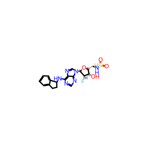 O=[SH](=O)NC[C@H]1O[C@@H](n2cnc3c(NC4CCc5ccccc54)ncnc32)[C@H](F)[C@H]1O